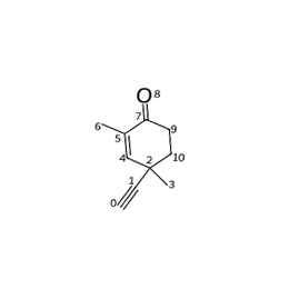 C#CC1(C)C=C(C)C(=O)CC1